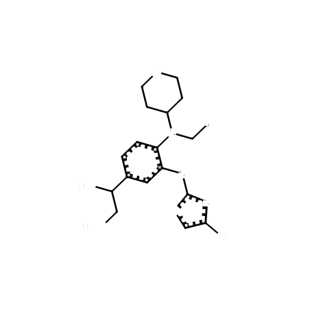 CC(C)CN(c1ccc(C(C)CC(=O)O)cc1Nc1nc(C(F)(F)F)cs1)C1CCOCC1